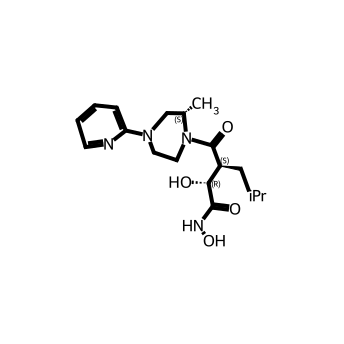 CC(C)C[C@H](C(=O)N1CCN(c2ccccn2)C[C@@H]1C)[C@@H](O)C(=O)NO